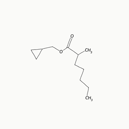 CCCCCC(C)C(=O)OCC1CC1